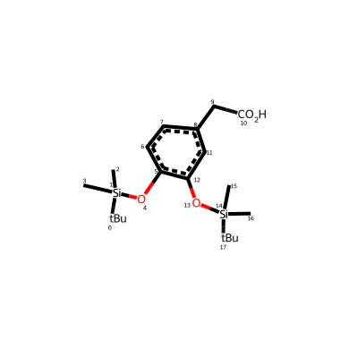 CC(C)(C)[Si](C)(C)Oc1ccc(CC(=O)O)cc1O[Si](C)(C)C(C)(C)C